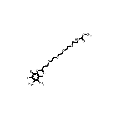 COC(=O)NCCOCCOCCOCCOCCC(=O)Oc1c(F)c(C)c(C)c(F)c1F